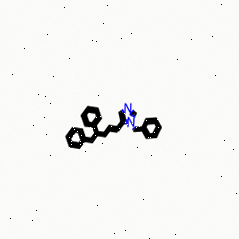 C(=C\c1cncn1Cc1ccccc1)/CC(Cc1ccccc1)c1ccccc1